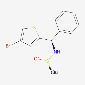 CC(C)(C)[S@@+]([O-])N[C@H](c1ccccc1)c1cc(Br)cs1